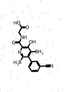 Bc1nc(C(=O)NCC(=O)O)c(O)c(B)c1-c1cccc(C#N)c1